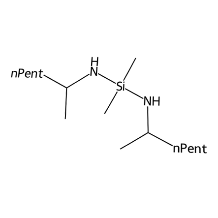 CCCCCC(C)N[Si](C)(C)NC(C)CCCCC